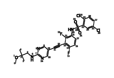 COC(C)(C)CNc1ncc(C#Cc2c(F)ccc(NS(=O)(=O)c3cc(Cl)ccc3Cl)c2F)cn1